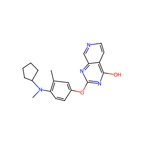 Cc1cc(Oc2nc(O)c3ccncc3n2)ccc1N(C)C1CCCC1